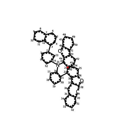 c1cc(-c2cccc3ccccc23)cc(N(c2ccccc2-c2cccc3oc4cc5ccccc5cc4c23)c2cccc3c2oc2ccccc23)c1